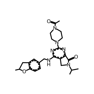 CC(=O)N1CCN(c2nc(NCc3ccc4c(c3)CC(C)O4)c3c(n2)C(=O)N(C(C)C)C3)CC1